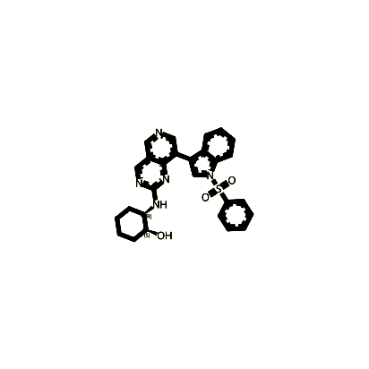 O=S(=O)(c1ccccc1)n1cc(-c2cncc3cnc(N[C@@H]4CCCC[C@@H]4O)nc23)c2ccccc21